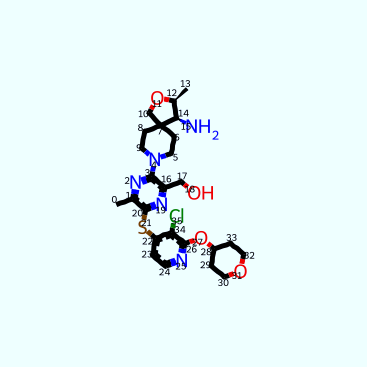 Cc1nc(N2CCC3(CC2)CO[C@@H](C)[C@H]3N)c(CO)nc1Sc1ccnc(OC2CCOCC2)c1Cl